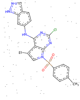 CCc1cn(S(=O)(=O)c2ccc(C)cc2)c2nc(Cl)nc(Nc3ccc4cn[nH]c4c3)c12